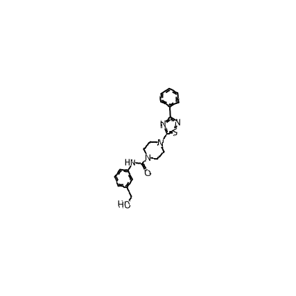 O=C(Nc1cccc(CO)c1)N1CCN(c2nc(-c3ccccc3)ns2)CC1